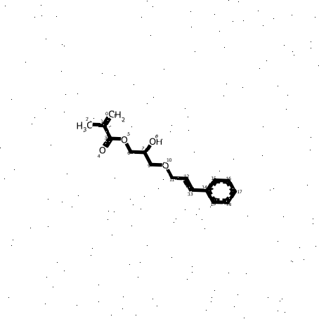 C=C(C)C(=O)OCC(O)COC/C=C/c1ccccc1